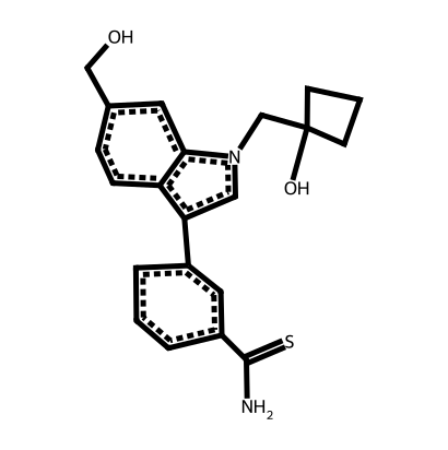 NC(=S)c1cccc(-c2cn(CC3(O)CCC3)c3cc(CO)ccc23)c1